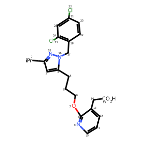 CC(C)c1cc(CCCOc2ncccc2CC(=O)O)n(Cc2ccc(Cl)cc2Cl)n1